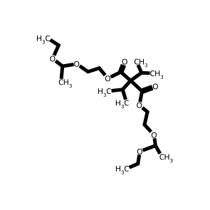 CCOC(C)OCCOC(=O)C(C(=O)OCCOC(C)OCC)(C(C)C)C(C)C